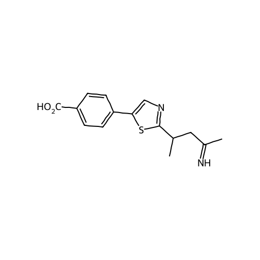 CC(=N)CC(C)c1ncc(-c2ccc(C(=O)O)cc2)s1